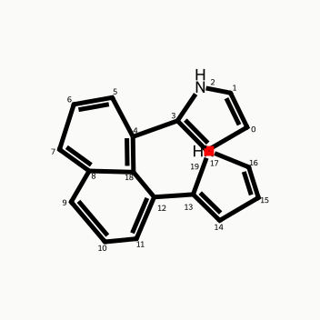 c1c[nH]c(-c2cccc3cccc(-c4ccc[nH]4)c23)c1